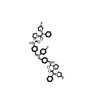 O=C(Nc1ccc(CN(Cc2ccc(NC(=O)[C@@H]3CCCN3C(=O)[C@H](c3ccccc3)N3CC[C@@H](F)C3)cc2)c2ccc(F)cc2)cc1)[C@@H]1CCCN1C(=O)[C@H](c1ccccc1)N1CC[C@@H](F)C1